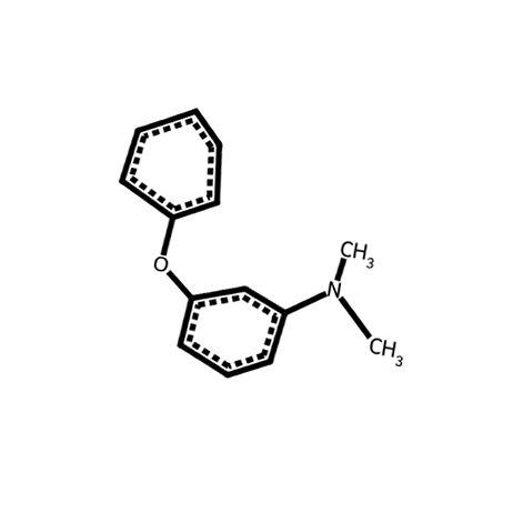 CN(C)c1cccc(Oc2ccccc2)c1